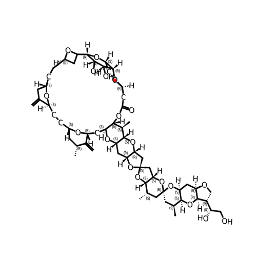 C=C1C[C@@H]2CC[C@@H]3CC(O3)[C@@H]3O[C@H]4CC[C@H](CC(=O)O[C@@H]5[C@@H](C)[C@@H]6O[C@@H]7C[C@]8(C[C@@H]9O[C@]%10(C[C@H](C)[C@@H]%11O[C@@H]%12[C@@H]([C@@H](O)CO)CO[C@@H]%12C[C@@H]%11O%10)C[C@H](C)[C@@H]9O8)O[C@@H]7C[C@@H]6O[C@H]5C[C@H]5O[C@@H](CC[C@@H]1O2)C[C@@H](C)C5=C)O[C@@H]4[C@H](O)[C@@H]3O